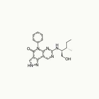 CC[C@H](C)[C@@H](CO)Nc1ncc2c3n[nH]cc3c(=O)n(-c3ccccc3)c2n1